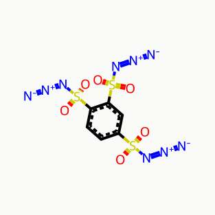 [N-]=[N+]=NS(=O)(=O)c1ccc(S(=O)(=O)N=[N+]=[N-])c(S(=O)(=O)N=[N+]=[N-])c1